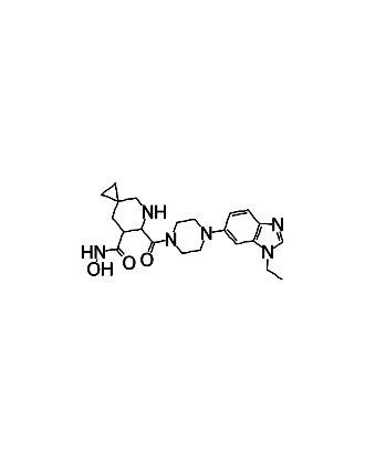 CCn1cnc2ccc(N3CCN(C(=O)C4NCC5(CC5)CC4C(=O)NO)CC3)cc21